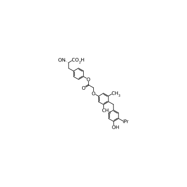 Cc1cc(OCC(=O)Oc2ccc(C[C@H](N=O)C(=O)O)cc2)cc(C)c1Cc1ccc(O)c(C(C)C)c1